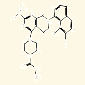 C[S+]([O-])c1nc2c(c(N3CCN(C(=O)OC(C)(C)C)CC3)n1)CCN(c1cccc3ccc(F)c(Cl)c13)C2